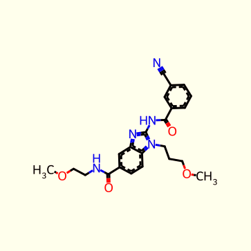 COCCCn1c(NC(=O)c2cccc(C#N)c2)nc2cc(C(=O)NCCOC)ccc21